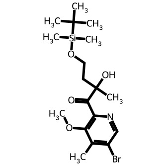 COc1c(C(=O)C(C)(O)CCO[Si](C)(C)C(C)(C)C)ncc(Br)c1C